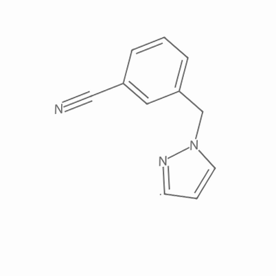 N#Cc1cccc(Cn2cc[c]n2)c1